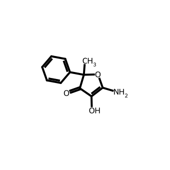 CC1(c2ccccc2)OC(N)=C(O)C1=O